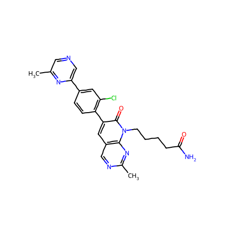 Cc1cncc(-c2ccc(-c3cc4cnc(C)nc4n(CCCCC(N)=O)c3=O)c(Cl)c2)n1